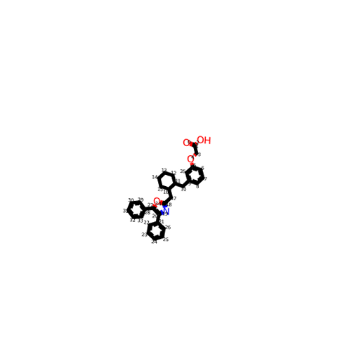 O=C(O)COc1cccc(CC2CCCCC2Cc2nc(-c3ccccc3)c(-c3ccccc3)o2)c1